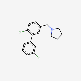 Clc1cccc(-c2cc(CN3CCCC3)ccc2Cl)c1